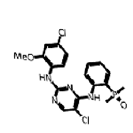 COc1cc(Cl)ccc1Nc1ncc(Cl)c(Nc2ccccc2P(C)(C)=O)n1